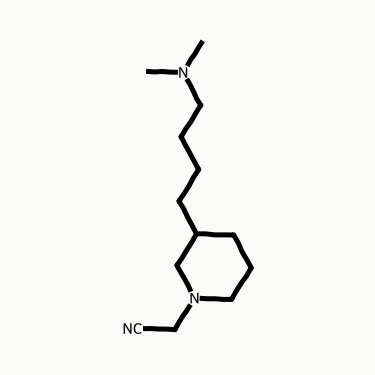 CN(C)CCCCC1CCCN(CC#N)C1